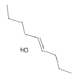 CCCC=CCCCC.Cl